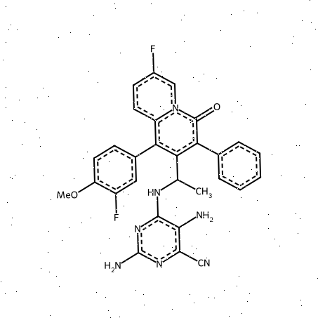 COc1ccc(-c2c(C(C)Nc3nc(N)nc(C#N)c3N)c(-c3ccccc3)c(=O)n3cc(F)ccc23)cc1F